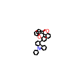 c1ccc(-c2cccc3c2C2(c4ccccc4O3)c3ccccc3Oc3c(-c4cccc5c4c4ccccc4n5-c4ccccc4)cccc32)cc1